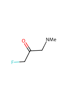 CNCC(=O)CF